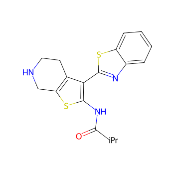 CC(C)C(=O)Nc1sc2c(c1-c1nc3ccccc3s1)CCNC2